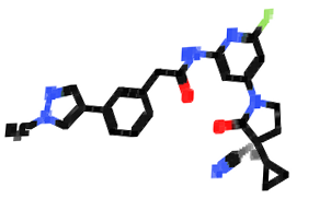 Cn1cc(-c2cccc(CC(=O)Nc3cc(N4CC[C@@](C#N)(C5CC5)C4=O)cc(F)n3)c2)cn1